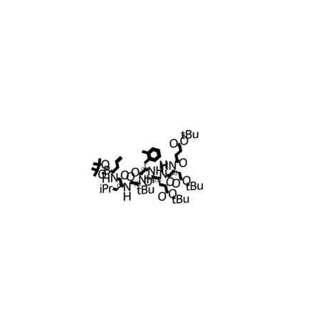 C=CCC(NC(=O)[C@H](CC(C)C)NC(=O)[C@@H](NC(=O)[C@H](Cc1ccccc1C)NC(=O)[C@H](CCC(=O)OC(C)(C)C)NC(=O)[C@H](CC(=O)OC(C)(C)C)NC(=O)CCC(=O)OC(C)(C)C)C(C)(C)C)B1OC(C)(C)C(C)(C)O1